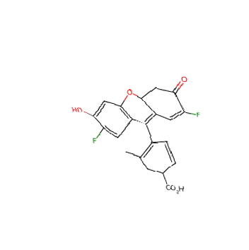 CC1=C(C2=C3C=C(F)C(=O)CC3Oc3cc(O)c(F)cc32)C=CC(C(=O)O)C1